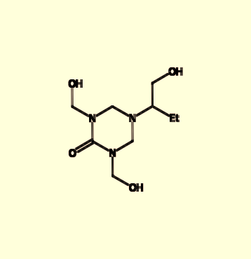 CCC(CO)N1CN(CO)C(=O)N(CO)C1